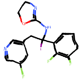 Fc1cncc(CC(I)(NC2=NCCO2)c2cccc(F)c2F)c1